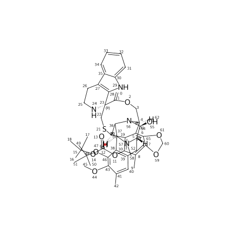 C=C1OC[C@H]2c3c4c(c(C)c(OC(=O)OC(C)(C)C)c3[C@@H](SC[C@]13NCCc1c3[nH]c3ccccc13)C1[C@@H]3c5c(cc(C)c(OC)c5OC(C)(C)C)C[C@@H]([C@H](O)N12)N3C)OCO4